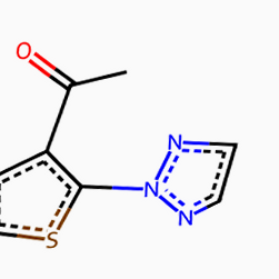 CC(=O)c1ccsc1-n1nccn1